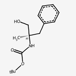 CC(C)(C)OC(=O)N[C@@](C)(CO)Cc1ccccc1